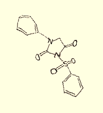 O=C1CN(c2ccccc2)C(=O)N1S(=O)(=O)c1ccccc1